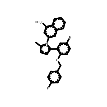 Cc1ccc(-c2cc(Br)ccc2OCc2ccc(F)cc2)n1-c1cc(C(=O)O)c2ccccc2c1